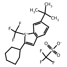 CC(C)(C)c1ccc2cc(C3CCCCC3)[s+](C(F)(F)F)c2c1.O=S(=O)([O-])C(F)(F)F